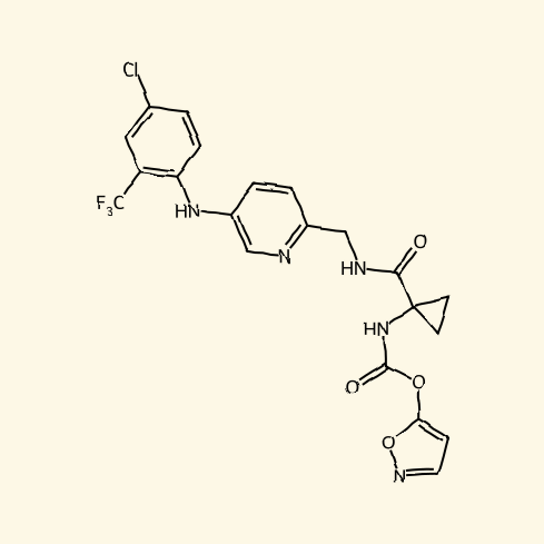 O=C(NC1(C(=O)NCc2ccc(Nc3ccc(Cl)cc3C(F)(F)F)cn2)CC1)Oc1ccno1